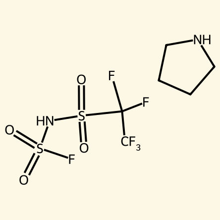 C1CCNC1.O=S(=O)(F)NS(=O)(=O)C(F)(F)C(F)(F)F